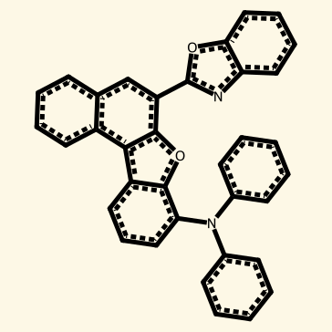 c1ccc(N(c2ccccc2)c2cccc3c2oc2c(-c4nc5ccccc5o4)cc4ccccc4c23)cc1